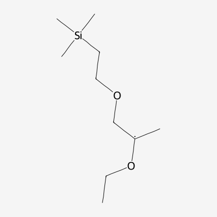 CCO[C](C)COCC[Si](C)(C)C